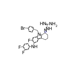 N=C(N)N/N=C1\CCCc2c1n(Cc1ccc(Br)cc1)c1cc(F)c(Nc3ccc(F)c(F)c3)cc21